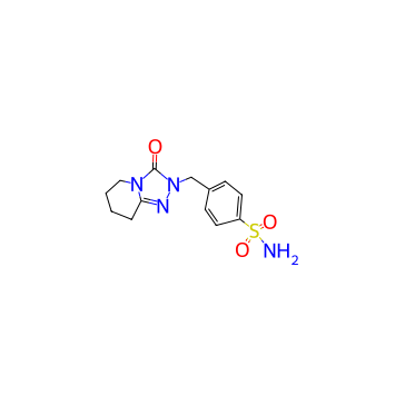 NS(=O)(=O)c1ccc(Cn2nc3n(c2=O)CCCC3)cc1